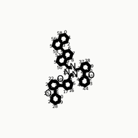 c1ccc2c(-c3cccc4c(-c5nc(-c6cccc7c6oc6ccc8oc9ccccc9c8c67)nc(-c6cccc7oc8ccccc8c67)n5)cccc34)cccc2c1